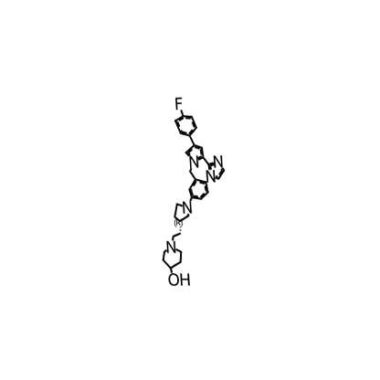 OC1CCN(CC[C@@H]2CCN(c3ccc4c(c3)Cn3cc(-c5ccc(F)cc5)cc3-c3nccn3-4)C2)CC1